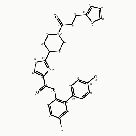 O=C(Nc1ccc(F)cc1-c1ccc(Cl)cc1)c1csc(C2CCN(C(=O)CCc3ccco3)CC2)n1